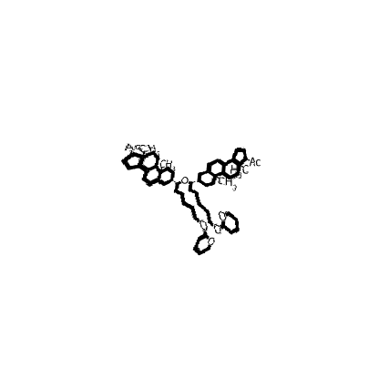 CC(=O)[C@H]1CCC2C3CC=C4C[C@@H](C(CCCCCOC5CCCCO5)OC(CCCCCOC5CCCCO5)[C@H]5CC[C@@]6(C)C(=CCC7C6CC[C@@]6(C)C7CC[C@@H]6C(C)=O)C5)CC[C@]4(C)C3CC[C@@]21C